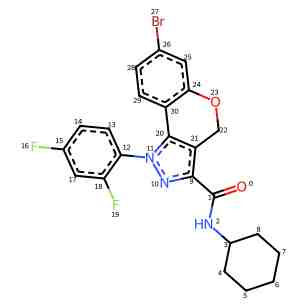 O=C(NC1CCCCC1)c1nn(-c2ccc(F)cc2F)c2c1COc1cc(Br)ccc1-2